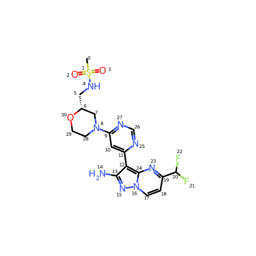 CS(=O)(=O)NC[C@@H]1CN(c2cc(-c3c(N)nn4ccc(C(F)F)nc34)ncn2)CCO1